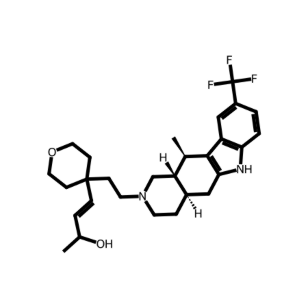 CC(O)/C=C/C1(CCN2CC[C@@H]3Cc4[nH]c5ccc(C(F)(F)F)cc5c4[C@H](C)[C@H]3C2)CCOCC1